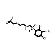 Cc1c(Cl)ccc(S(=O)(=O)CNCCOCC(=O)Cl)c1Cl